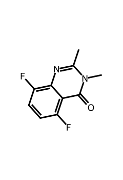 Cc1nc2c(F)ccc(F)c2c(=O)n1C